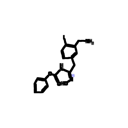 NCc1cc(C/C(=N/O)NC(=O)Oc2ccccc2)ccc1I